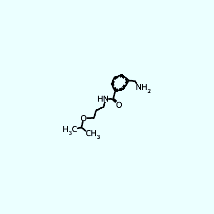 CC(C)OCCCNC(=O)c1cccc(CN)c1